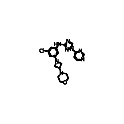 Clc1cc(Nc2ncn(-c3ccncn3)n2)cc(N2CC(N3CCOCC3)C2)c1